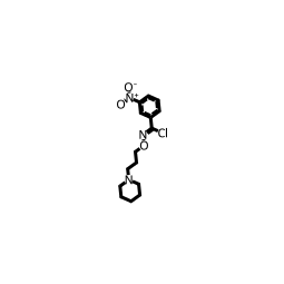 O=[N+]([O-])c1cccc(C(Cl)=NOCCCN2CCCCC2)c1